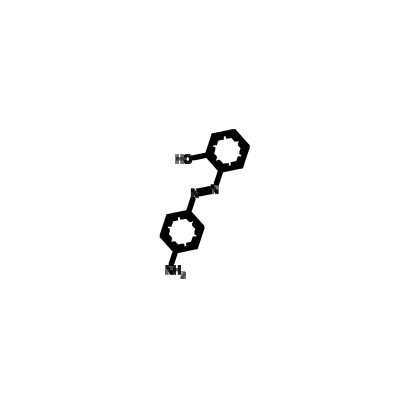 Nc1ccc(N=Nc2ccccc2O)cc1